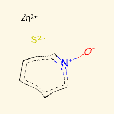 [O-][n+]1ccccc1.[S-2].[Zn+2]